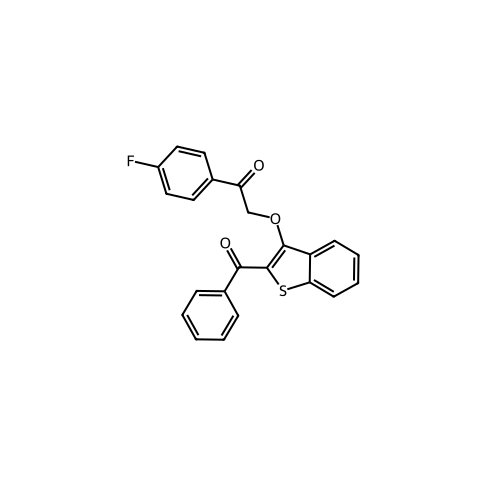 O=C(COc1c(C(=O)c2ccccc2)sc2ccccc12)c1ccc(F)cc1